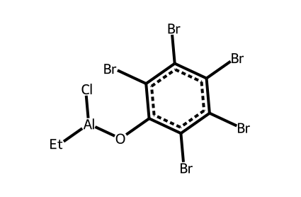 C[CH2][Al]([Cl])[O]c1c(Br)c(Br)c(Br)c(Br)c1Br